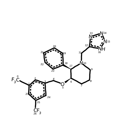 FC(F)(F)c1cc(CO[C@@H]2CCCN(Cc3nnn[nH]3)[C@@H]2c2ccccc2)cc(C(F)(F)F)c1